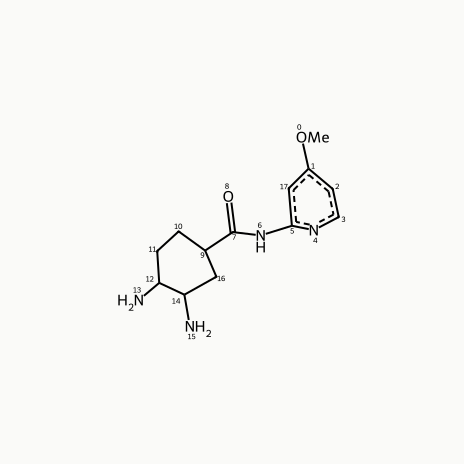 COc1ccnc(NC(=O)C2CCC(N)C(N)C2)c1